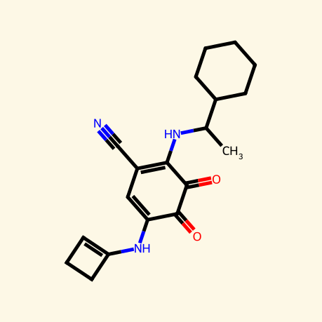 CC(NC1=C(C#N)C=C(NC2=CCC2)C(=O)C1=O)C1CCCCC1